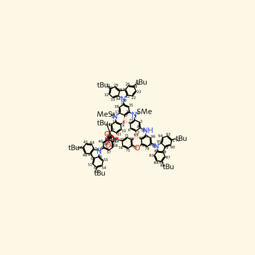 CSN1c2cc3c(cc2B2c4cc5c(cc4N(SC)c4cc(-n6c7ccc(C(C)(C)C)cc7c7cc(C(C)(C)C)ccc76)cc1c42)Oc1cc(-n2c4ccc(C(C)(C)C)cc4c4cc(C(C)(C)C)ccc42)cc2c1B5c1cc(C(C)(C)C)ccc1O2)B1c2cc(C(C)(C)C)ccc2Oc2cc(-n4c5ccc(C(C)(C)C)cc5c5cc(C(C)(C)C)ccc54)cc(c21)N3